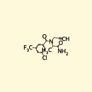 C#CCN(C(=O)c1cc(Cl)cc(C(F)(F)F)c1)C(C)C(N)=O